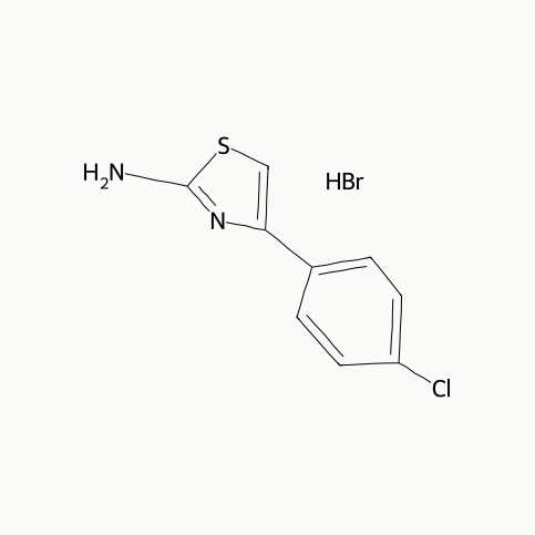 Br.Nc1nc(-c2ccc(Cl)cc2)cs1